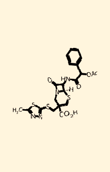 CC(=O)OC(C(=O)NC1C(=O)N2CC(CSc3nnc(C)s3)(C(=O)O)CS[C@H]12)c1ccccc1